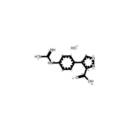 Cl.N=C(N)Nc1ccc(-c2conc2C(=O)O)cc1